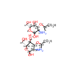 C[C@@H](O[C@@H]1[C@@H](N)[C@@H](O)O[C@H](CO)[C@H]1O)C(=O)O.C[C@@H](O[C@@H]1[C@@H](N)[C@@H](O)O[C@H](CO)[C@H]1O)C(=O)O